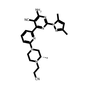 Cc1cc(C)n(-c2nc(N)c(C#N)c(-c3cccc(N4CCN(CCC#N)[C@@H](C)C4)n3)n2)n1